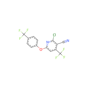 N#Cc1c(C(F)(F)F)cc(Oc2ccc(C(F)(F)F)cc2)nc1Cl